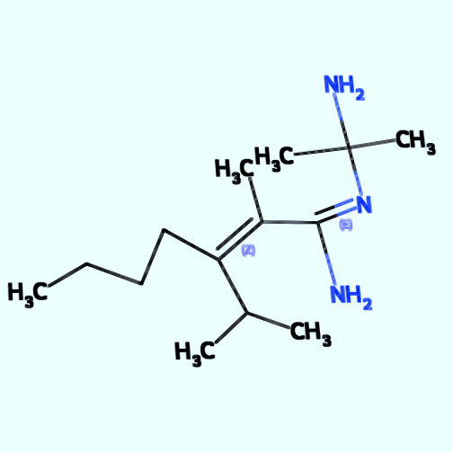 CCCC/C(=C(C)/C(N)=N\C(C)(C)N)C(C)C